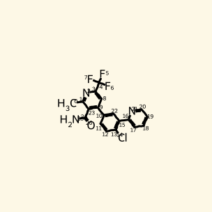 Cc1nc(C(F)(F)F)cc(-c2ccc(Cl)c(-c3ccccn3)c2)c1C(N)=O